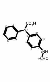 O=CNc1ccc(N(C(=O)O)c2ccccc2)cc1